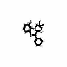 CC1(C)CN=C2C(c3ccccc3)=Nc3cccc(F)c3N2C1